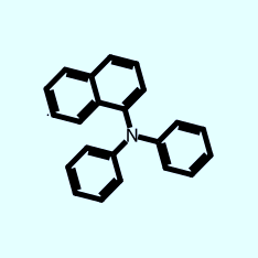 [c]1ccc2cccc(N(c3ccccc3)c3ccccc3)c2c1